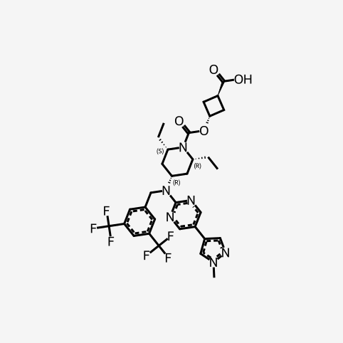 CC[C@@H]1C[C@H](N(Cc2cc(C(F)(F)F)cc(C(F)(F)F)c2)c2ncc(-c3cnn(C)c3)cn2)C[C@H](CC)N1C(=O)O[C@H]1C[C@H](C(=O)O)C1